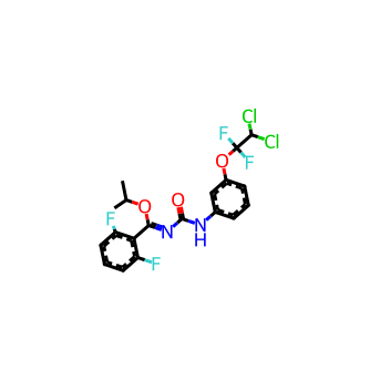 CC(C)OC(=NC(=O)Nc1cccc(OC(F)(F)C(Cl)Cl)c1)c1c(F)cccc1F